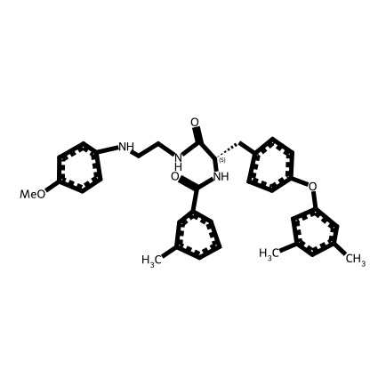 COc1ccc(NCCNC(=O)[C@H](Cc2ccc(Oc3cc(C)cc(C)c3)cc2)NC(=O)c2cccc(C)c2)cc1